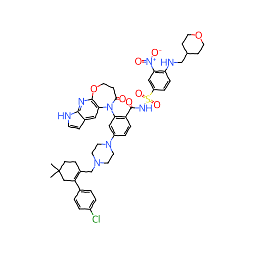 CC1(C)CCC(CN2CCN(c3ccc(C(=O)NS(=O)(=O)c4ccc(NCC5CCOCC5)c([N+](=O)[O-])c4)c(N4C(=O)CCOc5nc6[nH]ccc6cc54)c3)CC2)=C(c2ccc(Cl)cc2)C1